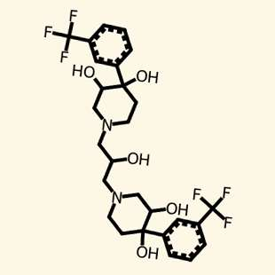 OC(CN1CCC(O)(c2cccc(C(F)(F)F)c2)C(O)C1)CN1CCC(O)(c2cccc(C(F)(F)F)c2)C(O)C1